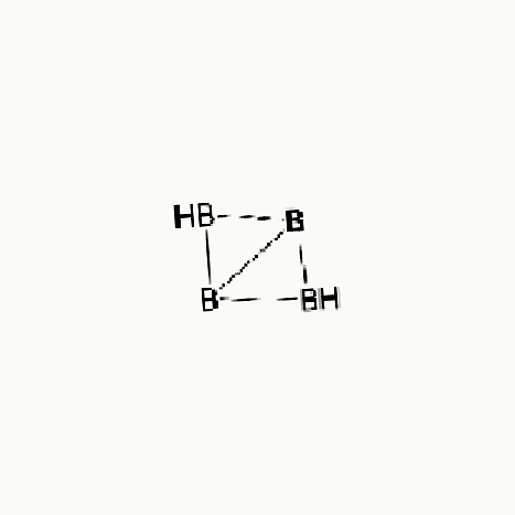 B1B2BB12